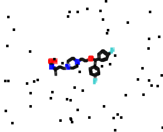 C/C(CCN1CCN(CCOC(c2ccc(F)cc2)c2ccc(F)cc2)CC1)=N/O